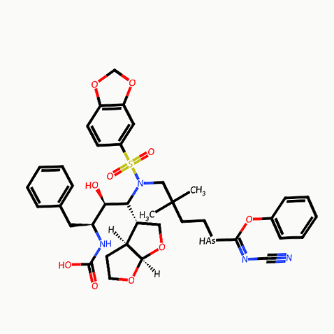 CC(C)(CC[AsH]C(=NC#N)Oc1ccccc1)CN(C([C@H](O)[C@H](Cc1ccccc1)NC(=O)O)[C@@H]1CO[C@H]2OCC[C@H]21)S(=O)(=O)c1ccc2c(c1)OCO2